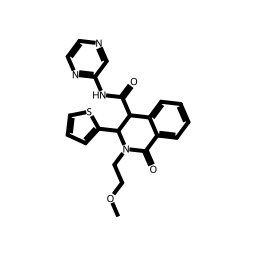 COCCN1C(=O)c2ccccc2C(C(=O)Nc2cnccn2)C1c1cccs1